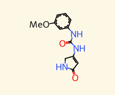 COc1cccc(NC(=O)NC2=CC(=O)NC2)c1